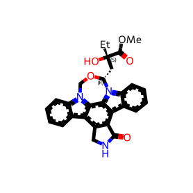 CC[C@](O)(C[C@H]1OCn2c3ccccc3c3c4c(c5c6ccccc6n1c5c32)C(=O)NC4)C(=O)OC